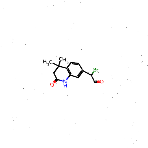 CC1(C)CC(=O)Nc2cc(C(Br)C=O)ccc21